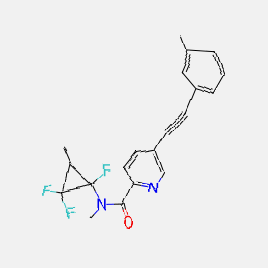 Cc1cccc(C#Cc2ccc(C(=O)N(C)C3(F)C(C)C3(F)F)nc2)c1